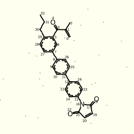 C=C(C)C(=O)c1cc(-c2ccc(-c3ccc(N4C(=O)C=CC4=O)cc3)cc2)ccc1CCC